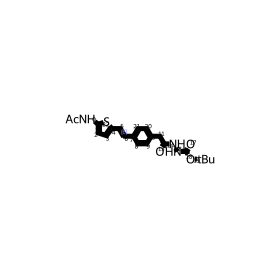 CC(=O)Nc1ccc(/C=C/c2ccc(CC(=O)NNC(=O)OC(C)(C)C)cc2)s1